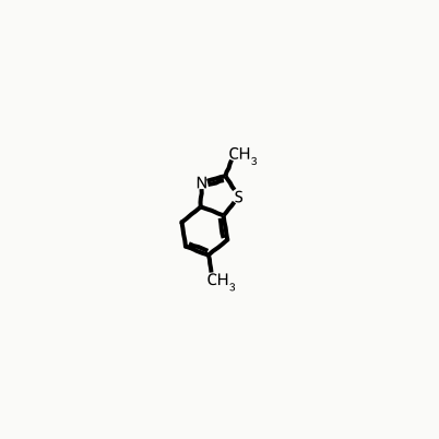 CC1=CCC2N=C(C)SC2=C1